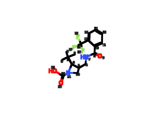 CC(C)(C)C1C(CNC(=O)c2ccccc2C(F)(F)F)CN1C(=O)O